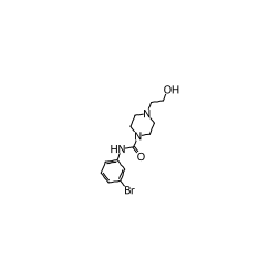 O=C(Nc1cccc(Br)c1)N1CCN(CCO)CC1